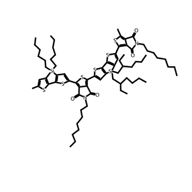 CCCCCCCCN1C(=O)c2c(C)sc(-c3cc4c(s3)-c3sc(-c5sc(-c6cc7c(s6)-c6sc(C)cc6[Si]7(CCCCCC)CCCCCC)c6c5C(=O)N(CCCCCCCC)C6=O)cc3[Si]4(CC(CC)CCCC)CC(CC)CCCC)c2C1=O